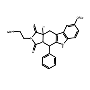 CCC12Cc3c([nH]c4ccc(OC)cc34)C(c3ccccc3)N1C(=O)N(CCNC)C2=O